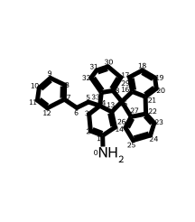 NC1=CCC2(CCc3ccccc3)C(=C1)C1(c3ccccc3-c3ccccc31)c1ccccc12